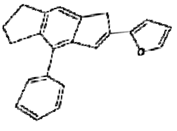 C1=C(c2ccco2)Cc2cc3c(c(-c4ccccc4)c21)CCC3